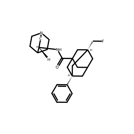 O=C(N[C@H]1CN2CCC1CC2)C12CC3C[C@](CF)(C1)C[C@@](c1ccccc1)(C3)C2